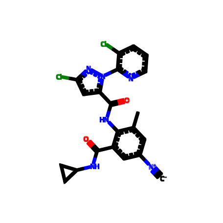 [C-]#[N+]c1cc(C)c(NC(=O)c2cc(Cl)nn2-c2ncccc2Cl)c(C(=O)NC2CC2)c1